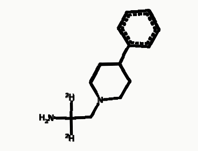 [2H]C([2H])(N)CN1CCC(c2ccccc2)CC1